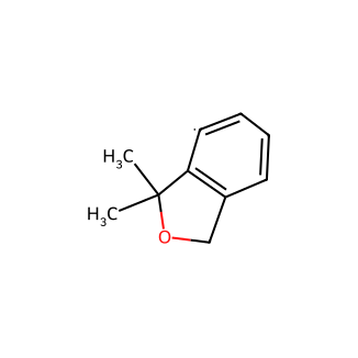 CC1(C)OCc2ccc[c]c21